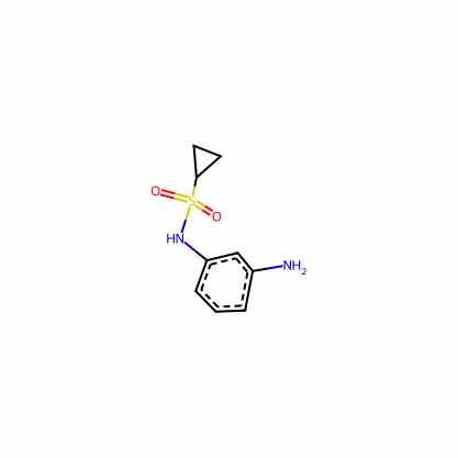 Nc1cccc(NS(=O)(=O)C2CC2)c1